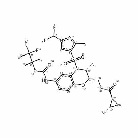 Cc1nn(C(F)F)cc1S(=O)(=O)N1c2cc(NC(=O)OC(C)(C)C(F)(F)F)ccc2O[C@@H](CNC(=O)[C@H]2C[C@@H]2C)[C@H]1C